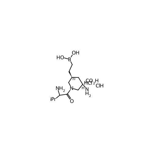 CC(C)C(N)C(=O)N1C[C@@H](CCB(O)O)C[C@](N)(C(=O)O)C1.Cl.Cl